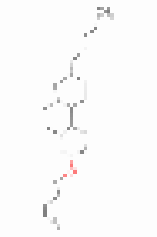 CCCCC[C@@H]1CCC2C(CCC3C[C@H](OCCCC)CCC32)C1